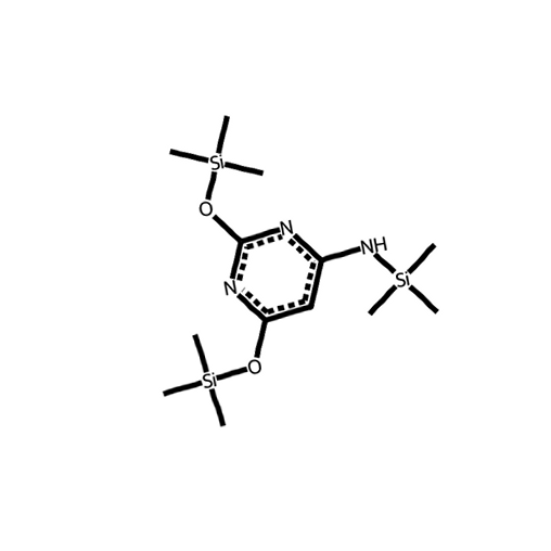 C[Si](C)(C)Nc1cc(O[Si](C)(C)C)nc(O[Si](C)(C)C)n1